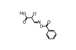 O=C(ON=CC(Cl)C(=O)O)c1ccccc1